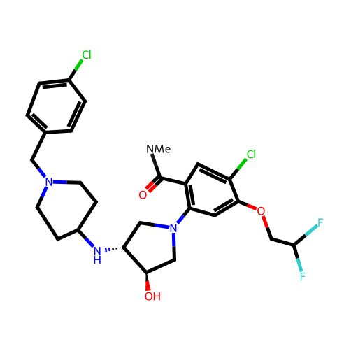 CNC(=O)c1cc(Cl)c(OCC(F)F)cc1N1C[C@@H](O)[C@H](NC2CCN(Cc3ccc(Cl)cc3)CC2)C1